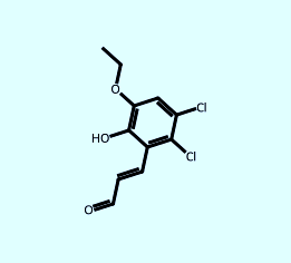 CCOc1cc(Cl)c(Cl)c(/C=C/C=O)c1O